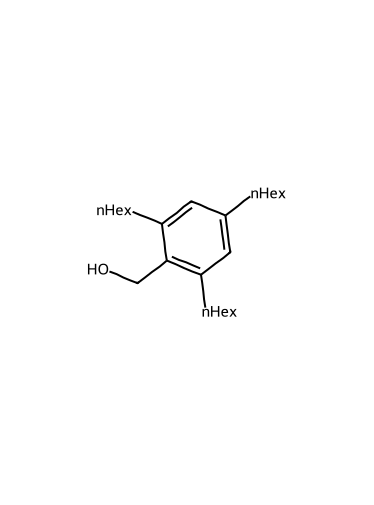 CCCCCCc1cc(CCCCCC)c(CO)c(CCCCCC)c1